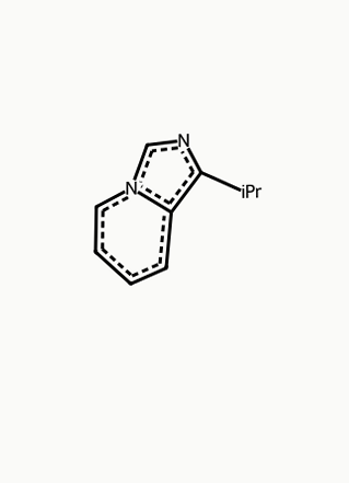 CC(C)c1ncn2ccccc12